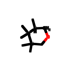 C[SiH]1[SiH2]OC[Si](C)(C)[Si]1(C)C